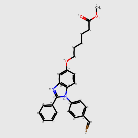 COC(=O)CCCCCOc1ccc2c(c1)nc(-c1ccccc1)n2-c1ccc(C=S)cc1